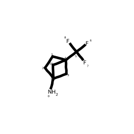 NC12CCC(C(F)(F)F)(C1)C2